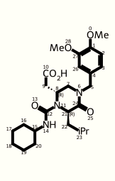 COc1ccc(CN2C[C@@H](CC(=O)O)N(C(=O)NC3CCCCC3)[C@H](CC(C)C)C2=O)cc1OC